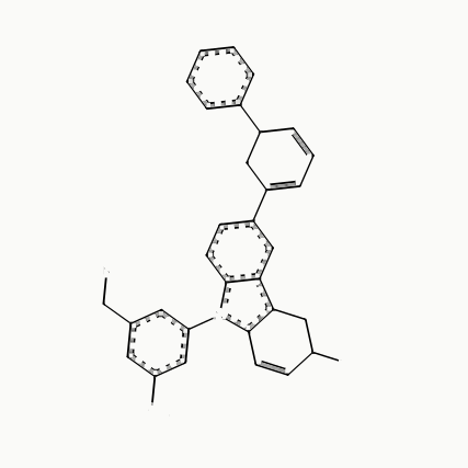 Cc1cc(CN)cc(-n2c3c(c4cc(C5=CC=CC(c6ccccc6)C5)ccc42)CC(C)C=C3)c1